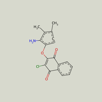 Cc1ccc(OC2=C(Cl)C(=O)c3ccccc3C2=O)c(N)c1C